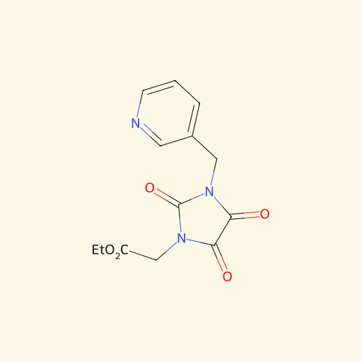 CCOC(=O)CN1C(=O)C(=O)N(Cc2cccnc2)C1=O